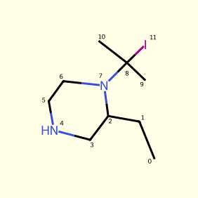 CCC1CNCCN1C(C)(C)I